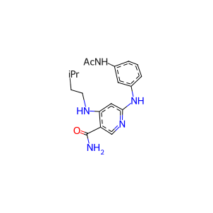 CC(=O)Nc1cccc(Nc2cc(NCCC(C)C)c(C(N)=O)cn2)c1